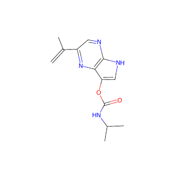 C=C(C)c1cnc2[nH]cc(OC(=O)NC(C)C)c2n1